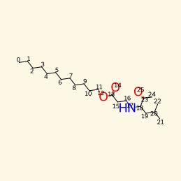 CCCCCCCCCCCCOC(=O)CCNC(CC(C)C)C(C)=O